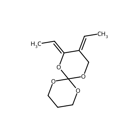 CC=C1COC2(OCCCO2)OC1=CC